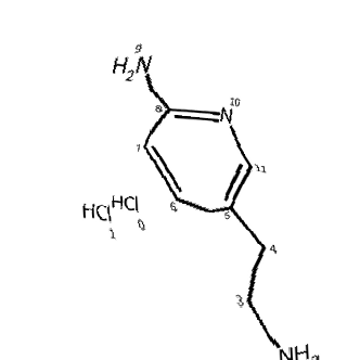 Cl.Cl.NCCc1ccc(N)nc1